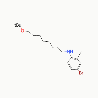 Cc1cc(Br)ccc1NCCCCCCCCOC(C)(C)C